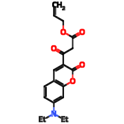 C=CCOC(=O)CC(=O)c1cc2ccc(N(CC)CC)cc2oc1=O